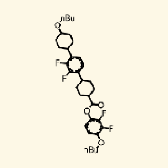 CCCCOc1ccc(OC(=O)C2CCC(c3ccc(C4CCC(OCCCC)CC4)c(F)c3F)CC2)c(F)c1F